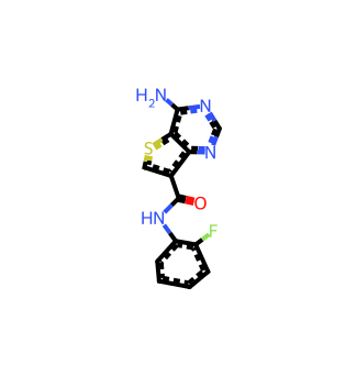 Nc1ncnc2c(C(=O)Nc3ccccc3F)csc12